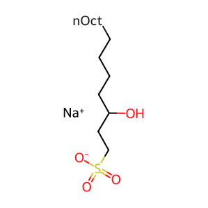 CCCCCCCCCCCCC(O)CCS(=O)(=O)[O-].[Na+]